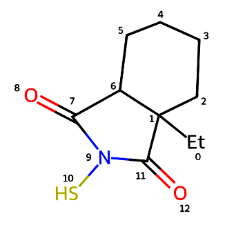 CCC12CCCCC1C(=O)N(S)C2=O